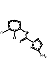 Nc1ccn(C(=S)Nc2cccc(Cl)c2Cl)n1